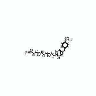 CCC(C)c1ccc(CN2CCN(CCOCCCOCCCC(C)C)CC2)cc1